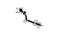 COc1cc(N)c(Cl)cc1C(=O)NC1CCN(CCCCCC(=O)N(C)CCCCCCCC(=O)NC[C@H](O)[C@@H](O)[C@H](O)[C@H](O)CO)CC1